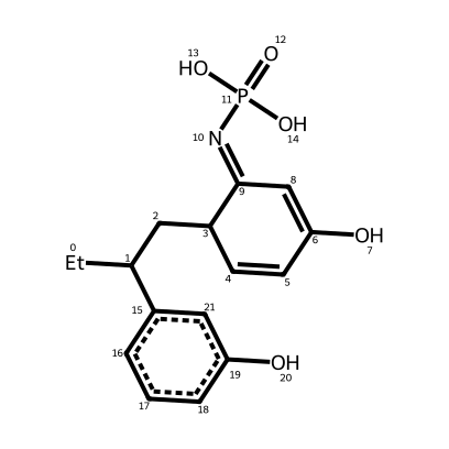 CCC(CC1C=CC(O)=C/C1=N\P(=O)(O)O)c1cccc(O)c1